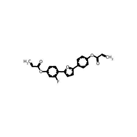 C=CC(=O)Oc1ccc(-c2ccc(-c3ccc(OC(=O)C=C)cc3F)o2)cc1